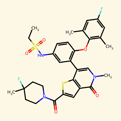 CCS(=O)(=O)Nc1ccc(Oc2c(C)cc(F)cc2C)c(-c2cn(C)c(=O)c3cc(C(=O)N4CCC(C)(F)CC4)sc23)c1